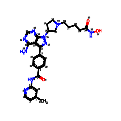 Cc1ccnc(NC(=O)c2ccc(-c3nn(C4CCN(CCCCC(=O)NO)C4)c4ncnc(N)c34)cc2)c1